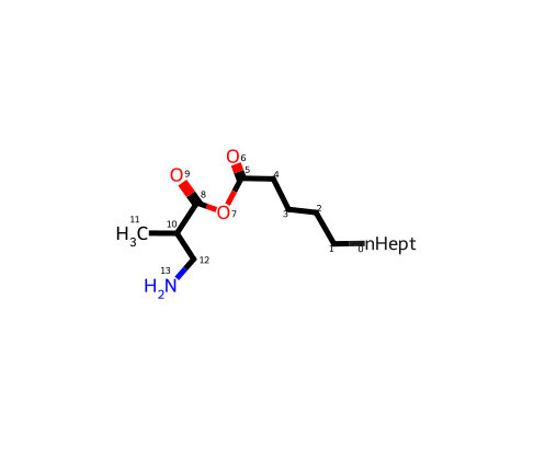 CCCCCCCCCCCC(=O)OC(=O)C(C)CN